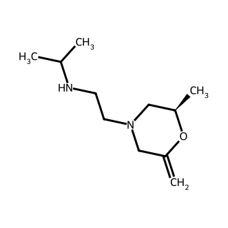 C=C1CN(CCNC(C)C)C[C@@H](C)O1